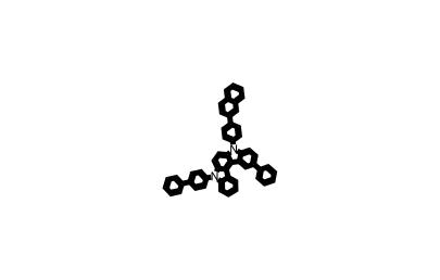 c1ccc(-c2ccc(-n3c4ccccc4c4c5c6cc(-c7ccccc7)ccc6n(-c6ccc(-c7ccc8ccccc8c7)cc6)c5ccc43)cc2)cc1